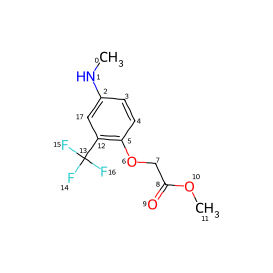 CNc1ccc(OCC(=O)OC)c(C(F)(F)F)c1